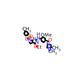 CCOc1nc(Nc2ccc(C(=O)N3CCN(C)C(C)C3)cc2OC)nc2c1ccn2S(=O)(=O)c1ccc(C)cc1